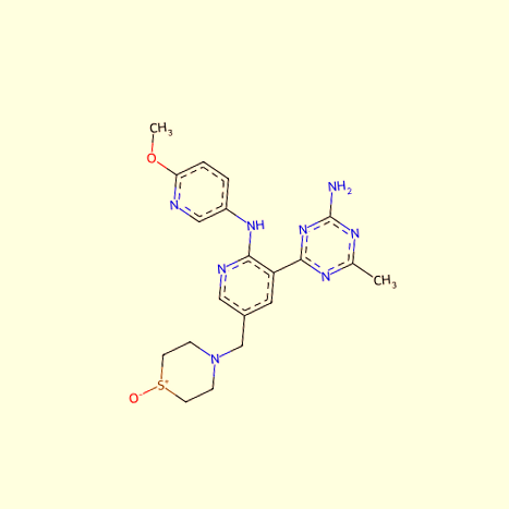 COc1ccc(Nc2ncc(CN3CC[S+]([O-])CC3)cc2-c2nc(C)nc(N)n2)cn1